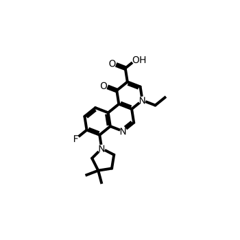 CCn1cc(C(=O)O)c(=O)c2c3ccc(F)c(N4CCC(C)(C)C4)c3ncc21